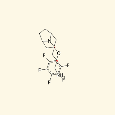 NCCCCN1C2CCC1CC(Oc1c(F)c(F)c(F)c(F)c1F)C2